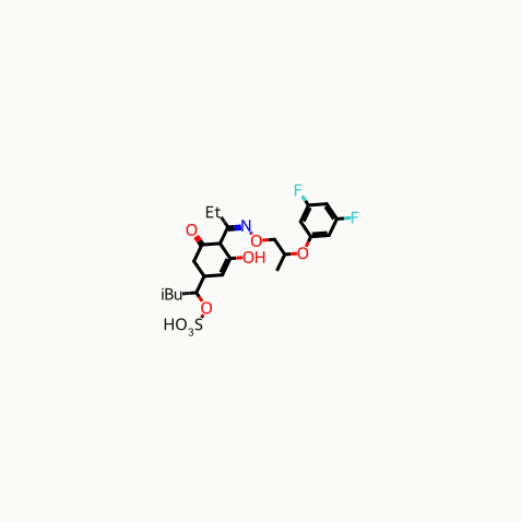 CCC(=NOCC(C)Oc1cc(F)cc(F)c1)C1C(=O)CC(C(OS(=O)(=O)O)C(C)CC)C=C1O